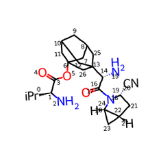 CC(C)[C@H](N)C(=O)OC12CC3CC(C1)CC([C@H](N)C(=O)N1[C@H](C#N)C[C@@H]4C[C@@H]41)(C3)C2